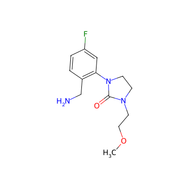 COCCN1CCN(c2cc(F)ccc2CN)C1=O